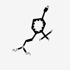 CN(C)/C=C/c1ccc(C#N)cc1C(F)(F)F